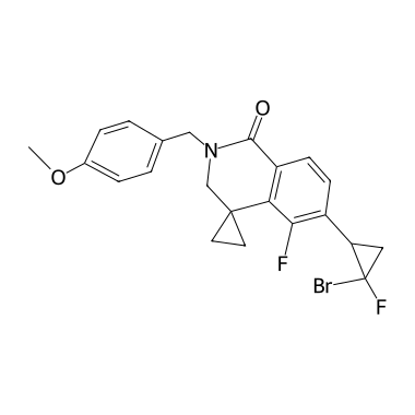 COc1ccc(CN2CC3(CC3)c3c(ccc(C4CC4(F)Br)c3F)C2=O)cc1